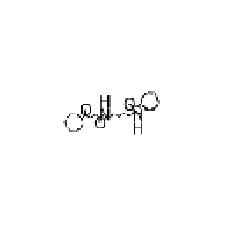 O=C(CCC(=O)C1CCCCCCCCC1)NCCCCCC1NC2c3cccccccc(c3)C2C1=O